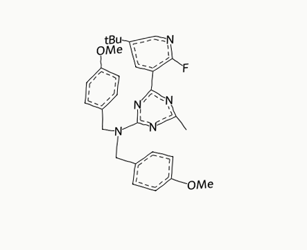 COc1ccc(CN(Cc2ccc(OC)cc2)c2nc(C)nc(-c3cc(C(C)(C)C)cnc3F)n2)cc1